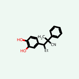 [CH2]C(C#N)(c1ccccc1)C(CC)c1ccc(O)c(O)c1